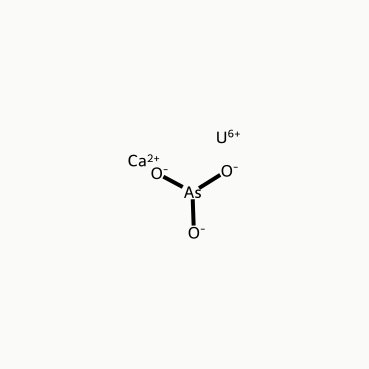 [Ca+2].[O-][As]([O-])[O-].[U+6]